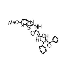 COc1ccc2nc(NC(=O)CNC(=O)CC(NC(=O)c3ccccc3)c3ccccc3)sc2n1